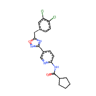 O=C(Nc1ccc(-c2noc(Cc3ccc(Cl)c(Cl)c3)n2)cn1)C1CCCC1